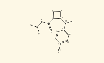 CC(C)OC(=O)C1CCN1C(C)c1ccc(Cl)cc1